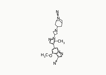 COc1cc(-c2cnn(C3CN(C4CC5CC(C4)N(C#N)C5)C3)c2C)cn2ncc(C#N)c12